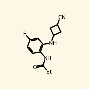 [CH2]CC(=O)Nc1ccc(F)cc1NC1CC(C#N)C1